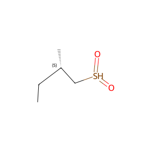 CC[C@H](C)C[SH](=O)=O